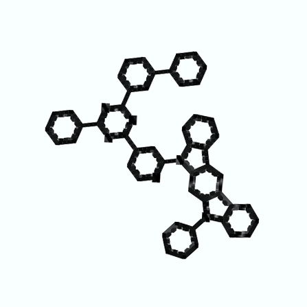 c1ccc(-c2cccc(-c3nc(-c4ccccc4)nc(-c4ccnc(-n5c6ccccc6c6cc7c8ccccc8n(-c8ccccc8)c7cc65)c4)n3)c2)cc1